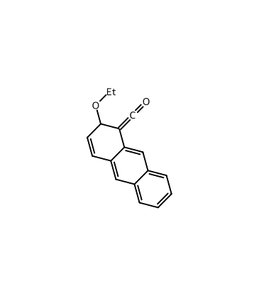 CCOC1C=Cc2cc3ccccc3cc2C1=C=O